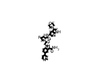 NC(=O)c1nn(CC(=O)N2CC(F)CC2C(=O)Nc2cnc3[nH]cc(N4CCOCC4)c3c2)c2ccc(-c3ccnnc3)cc12